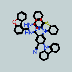 N#CC1C=C(C2NC(C3=CCCCC3)NC(C3=C4C(CC=C3)OC3CC=CCC43)N2)C(N2C3=C(CCC=C3)SC3CCCCC32)=CC1N1C2=C(CCC=C2)C2CCCCC21